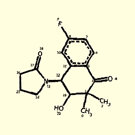 CC1(C)C(=O)c2ccc(F)cc2C(N2CCCC2=O)C1O